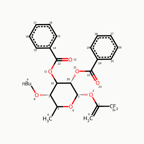 C=C(O[C@@H]1OC(C)[C@H](OCCCC)C(OC(=O)c2ccccc2)[C@@H]1OC(=O)c1ccccc1)C(F)(F)F